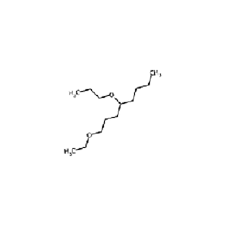 CCCC[C](CCCOCC)OCCC